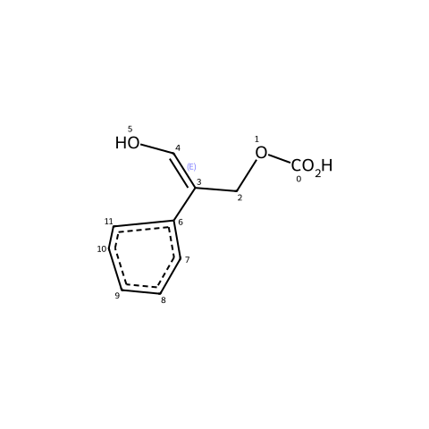 O=C(O)OC/C(=C/O)c1ccccc1